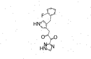 O=C(Cc1c[nH]cc1Cc1ccccc1F)C(=O)c1nc[nH]n1